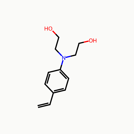 C=Cc1ccc(N(CCO)CCO)cc1